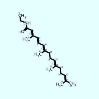 CCNC(=O)/C=C(C)/C=C/C=C(\C)CC/C=C(\C)CCC=C(C)C